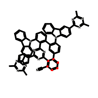 Cc1nc(C)nc(-c2ccc3c(c2)c2ccccc2n3-c2ccc(-c3cccc(C#N)c3)cc2-c2cccc(-n3c4ccccc4c4cc(-c5nc(C)nc(C)n5)ccc43)c2-c2nc(-c3ccccc3)nc(-c3ccccc3)n2)n1